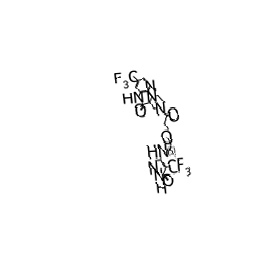 C[C@@H](COCCC(=O)N1CCN2c3ncc(C(F)(F)F)cc3NC(=O)C2C1)Nc1cn[nH]c(=O)c1C(F)(F)F